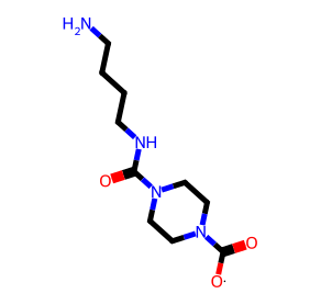 NCCCCNC(=O)N1CCN(C([O])=O)CC1